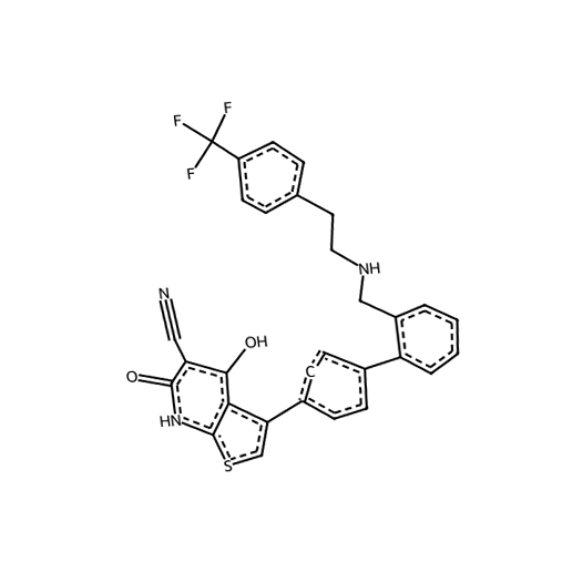 N#Cc1c(O)c2c(-c3ccc(-c4ccccc4CNCCc4ccc(C(F)(F)F)cc4)cc3)csc2[nH]c1=O